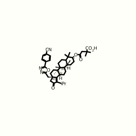 CC(C)C1=C2[C@H]3CC[C@@H]4[C@@]5(C)CC[C@H](OC(=O)CC(C)(C)C(=O)O)C(C)(C)C5CC[C@@]4(C)[C@]3(C)CC[C@@]2(Cc2nnc(-c3ccc(C#N)cc3)o2)CC1=O